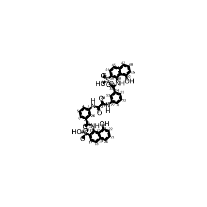 O=C(Nc1cccc(C(=O)Nc2c(S(=O)(=O)O)ccc3cccc(O)c23)c1)C(=O)Nc1cccc(C(=O)Nc2c(S(=O)(=O)O)ccc3cccc(O)c23)c1